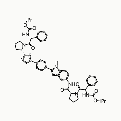 CC(C)OC(=O)N[C@@H](C(=O)N1CCC[C@H]1C(=O)Nc1ccc2[nH]c(-c3ccc(-c4cnc([C@@H]5CCCN5C(=O)[C@H](NC(=O)OC(C)C)c5ccccc5)s4)cc3)cc2c1)c1ccccc1